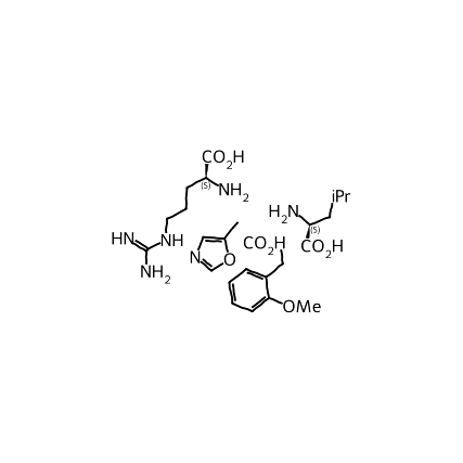 CC(C)C[C@H](N)C(=O)O.COc1ccccc1CC(=O)O.Cc1cnco1.N=C(N)NCCC[C@H](N)C(=O)O